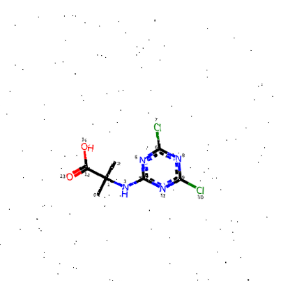 CC(C)(Nc1nc(Cl)nc(Cl)n1)C(=O)O